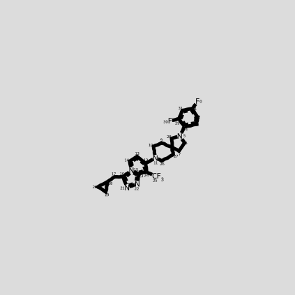 Fc1ccc(N2CCC3(CCN(c4ccn5c(CC6CC6)nnc5c4C(F)(F)F)CC3)C2)c(F)c1